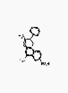 NC(=O)C(Cn1c(=O)cc(C(F)(F)F)c2cc(S(=O)(=O)O)ccc21)c1ccccc1